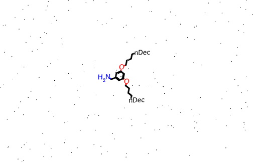 CCCCCCCCCCCCCCOc1cc(CN)cc(OCCCCCCCCCCCCCC)c1